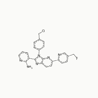 Nc1ncccc1-c1nc2ccc(-c3ccc(CF)cn3)nc2n1-c1ccc(CCl)cc1